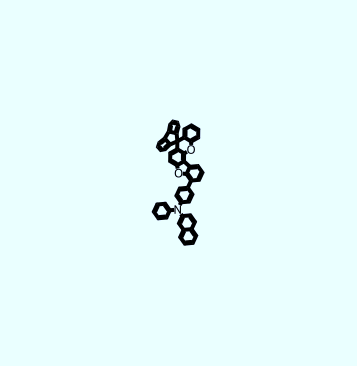 c1ccc(N(c2ccc(-c3cccc4c3oc3ccc5c(c34)Oc3ccccc3C53c4ccccc4-c4ccccc43)cc2)c2ccc3ccccc3c2)cc1